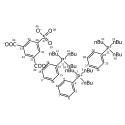 CCCC[P+](CCCC)(CCCC)c1ccccc1.CCCC[P+](CCCC)(CCCC)c1ccccc1.CCCC[P+](CCCC)(CCCC)c1ccccc1.O=C([O-])c1cc(C(=O)[O-])cc(S(=O)(=O)[O-])c1